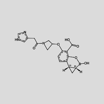 O=C(O)c1c(OC2CN(C(=O)Cc3c[nH]cn3)C2)ccc2c1OB(O)[C@@H]1C[C@H]21